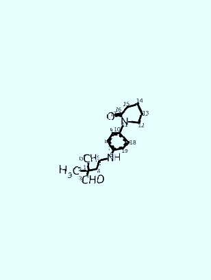 CC(C)(C=O)CCNc1ccc(N2CCCCC2=O)cc1